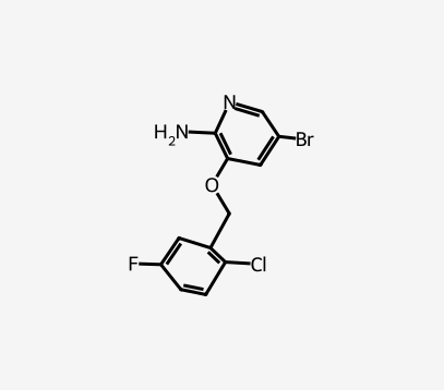 Nc1ncc(Br)cc1OCc1cc(F)ccc1Cl